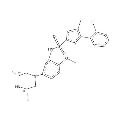 COc1ccc(N2C[C@@H](C)N[C@@H](C)C2)cc1NS(=O)(=O)c1cc(C)c(-c2ccccc2F)s1